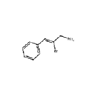 NCC(Br)=Cc1ccccc1